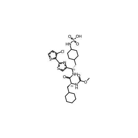 COC(=O)N[C@@H](CC1CCCCC1)C(=O)N[C@@H](CC1CCC(NS(=O)(=O)O)CC1)c1csc(-c2sccc2Cl)n1